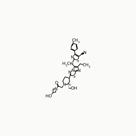 CCc1nc2sc(C3CCN(CC(=O)N4CC(O)C4)[C@@H](CO)C3)nn2c1N(C)c1nc(-c2ccc(C)cc2)c(C#N)s1